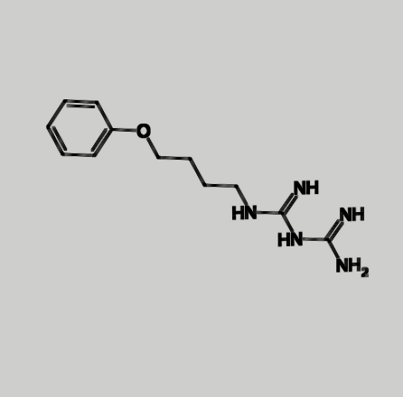 N=C(N)NC(=N)NCCCCOc1ccccc1